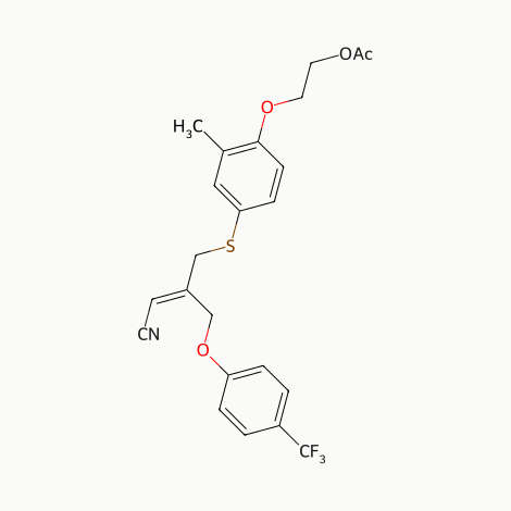 CC(=O)OCCOc1ccc(SCC(=CC#N)COc2ccc(C(F)(F)F)cc2)cc1C